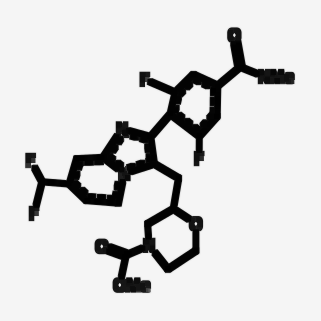 CNC(=O)c1cc(F)c(-c2nc3cc(C(F)F)ccn3c2CC2CN(C(=O)OC)CCO2)c(F)c1